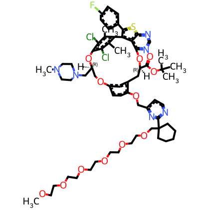 COCCOCCOCCOCCOCCOCC1(c2nccc(COc3ccc4cc3C[C@H](C(=O)OC(C)(C)C)Oc3ncnc5sc(-c6ccc(F)cc6)c(c35)-c3c(C)c(Cl)c(c(Cl)c3C)O[C@H](CN3CCN(C)CC3)CO4)n2)CCCCC1